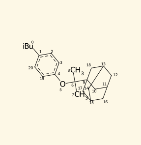 CCC(C)c1ccc(OC(C)(C)C23CC4CC(CC(C4)C2)C3)cc1